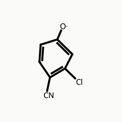 N#Cc1ccc([O])cc1Cl